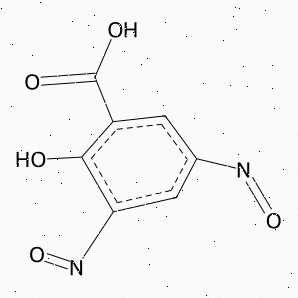 O=Nc1cc(N=O)c(O)c(C(=O)O)c1